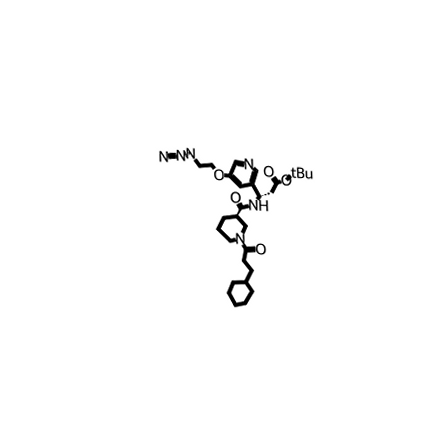 CC(C)(C)OC(=O)C[C@H](NC(=O)[C@@H]1CCCN(C(=O)CCC2CCCCC2)C1)c1cncc(OCCN=[N+]=[N-])c1